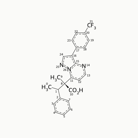 CC(c1ccccc1)[C@@](C)(C(=O)O)c1ccnc2c(-c3ccc(C(F)(F)F)cc3)cnn12